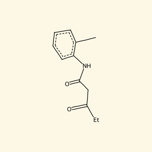 CCC(=O)CC(=O)Nc1ccccc1C